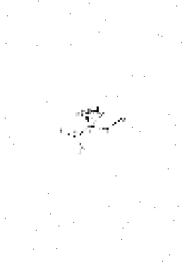 CC[C@H](N)C(C)F